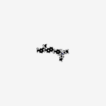 CC(=O)CN(Cc1cccc(C(C)=O)c1)C(=O)C1CCc2cc(OC(=O)c3ccc(N/C(=N\C(=O)OC(C)(C)C)NC(=O)OC(C)(C)C)cc3)ccc2C1